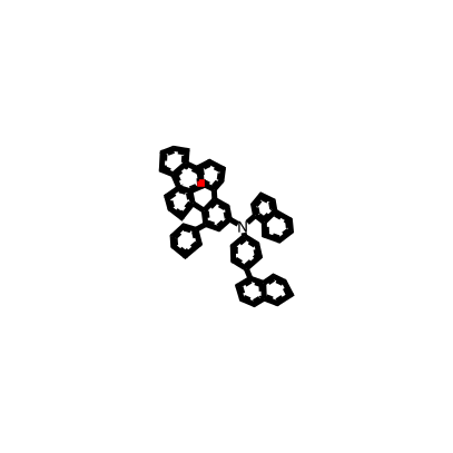 c1ccc(-c2cc(N(c3ccc(-c4cccc5ccccc45)cc3)c3cccc4ccccc34)cc(-c3ccccc3)c2-c2cccc3c2ccc2ccccc23)cc1